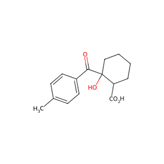 Cc1ccc(C(=O)C2(O)CCCCC2C(=O)O)cc1